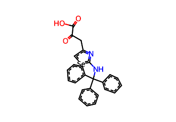 O=C(O)C(=O)Cc1c[se]c(NC(c2ccccc2)(c2ccccc2)c2ccccc2)n1